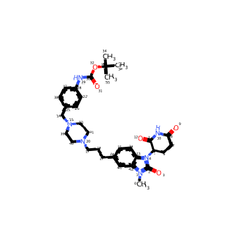 Cn1c(=O)n(C2CCC(=O)NC2=O)c2ccc(CCCN3CCN(Cc4ccc(NC(=O)OC(C)(C)C)cc4)CC3)cc21